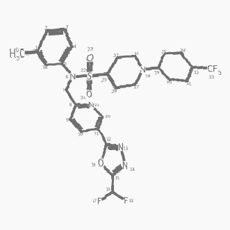 Cc1cccc(N(Cc2ccc(-c3nnc(C(F)F)o3)cn2)S(=O)(=O)C2CCN(C3CCC(C(F)(F)F)CC3)CC2)c1